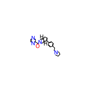 O=C(c1cnccn1)N1C[C@H]2CC=C(c3ccc(CCN4CCCC4)cc3)[C@H]2C1